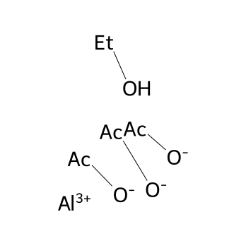 CC(=O)[O-].CC(=O)[O-].CC(=O)[O-].CCO.[Al+3]